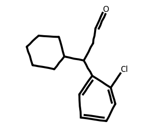 O=CCC(c1ccccc1Cl)C1CCCCC1